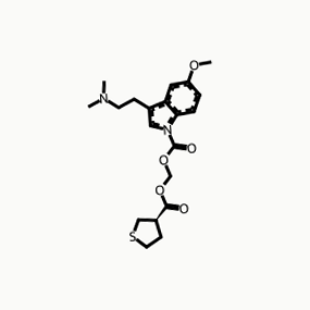 COc1ccc2c(c1)c(CCN(C)C)cn2C(=O)OCOC(=O)[C@H]1CCSC1